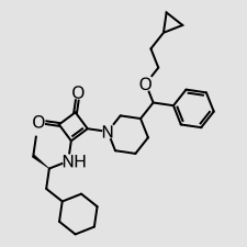 CC[C@H](CC1CCCCC1)Nc1c(N2CCCC(C(OCCC3CC3)c3ccccc3)C2)c(=O)c1=O